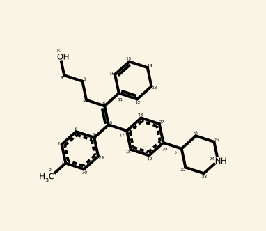 Cc1ccc(/C(=C(\CCCO)C2=CCCC=C2)c2ccc(C3CCNCC3)cc2)cc1